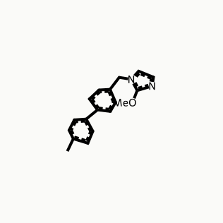 COc1nccn1Cc1ccc(-c2ccc(C)cc2)cc1